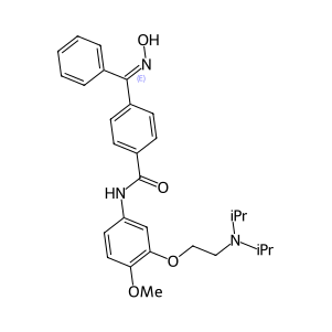 COc1ccc(NC(=O)c2ccc(/C(=N/O)c3ccccc3)cc2)cc1OCCN(C(C)C)C(C)C